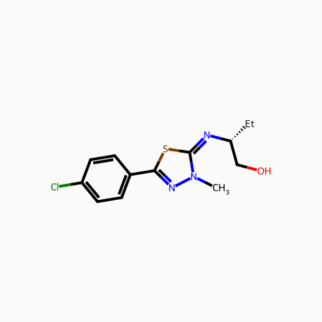 CC[C@H](CO)/N=c1/sc(-c2ccc(Cl)cc2)nn1C